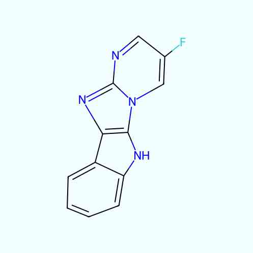 Fc1cnc2nc3c4ccccc4[nH]c3n2c1